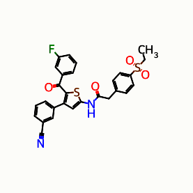 CCS(=O)(=O)c1ccc(CC(=O)Nc2cc(-c3cccc(C#N)c3)c(C(=O)c3cccc(F)c3)s2)cc1